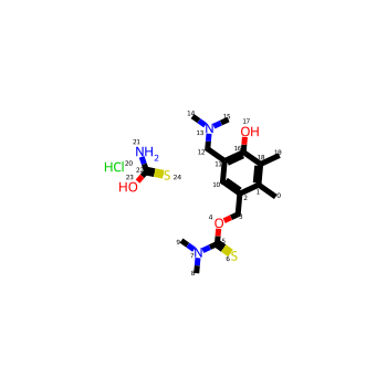 Cc1c(COC(=S)N(C)C)cc(CN(C)C)c(O)c1C.Cl.NC(O)=S